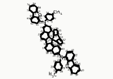 Cc1ccc(N(c2ccc3c4c(ccc3c2)-c2ccc3cc(N(c5ccc(C)cc5)c5cccc6c5oc5ccccc56)ccc3c2C42c3ccccc3-c3ccccc32)c2cccc3c2oc2ccccc23)cc1